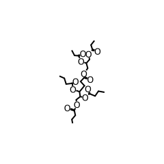 CCCC(=O)OCC(OC(=O)CCC)C(CCC(=O)OCC(COC(=O)CC)OC(=O)CC)OC(=O)CCC